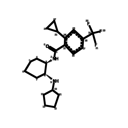 O=C(N[C@H]1CCCC[C@H]1NC1CCCC1)c1ccc(C(F)(F)F)cc1C1CC1